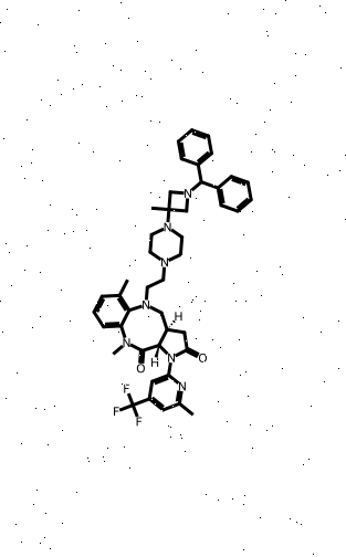 Cc1cc(C(F)(F)F)cc(N2C(=O)C[C@@H]3CN(CCN4CCN(C5(C)CN(C(c6ccccc6)c6ccccc6)C5)CC4)c4c(C)cccc4N(C)C(=O)[C@H]32)n1